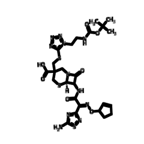 CC(C)(C)OC(=O)NCCn1nnnc1SCC1(C(=O)O)CS[C@@H]2C(NC(=O)C(=NOC3C=CCC3)c3nsc(N)n3)C(=O)N2C1